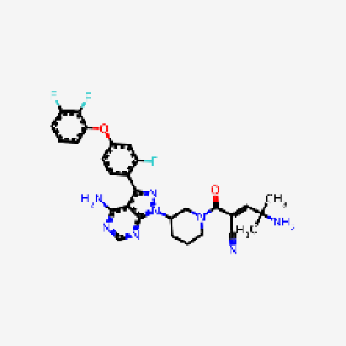 CC(C)(N)C=C(C#N)C(=O)N1CCCC(n2nc(-c3ccc(Oc4cccc(F)c4F)cc3F)c3c(N)ncnc32)C1